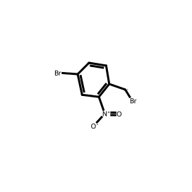 O=[N+]([O-])c1cc(Br)ccc1[CH]Br